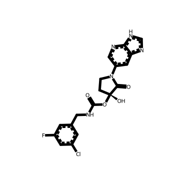 O=C(NCc1cc(F)cc(Cl)c1)O[C@]1(O)CCN(c2cnc3[nH]cnc3c2)C1=O